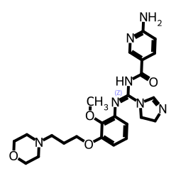 COc1c(/N=C(/NC(=O)c2ccc(N)nc2)N2C=NCC2)cccc1OCCCN1CCOCC1